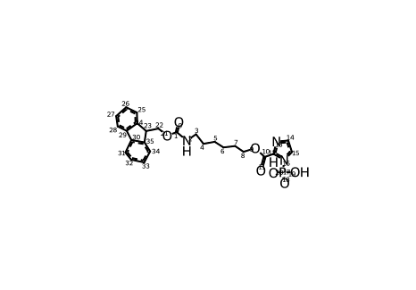 O=C(NCCCCCCOC(=O)c1nccn1P(=O)(O)O)OCC1c2ccccc2-c2ccccc21